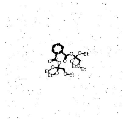 CCOCC(OCC)(OCC)OC(=O)c1ccccc1C(=O)OC(COCC)(OCC)OCC